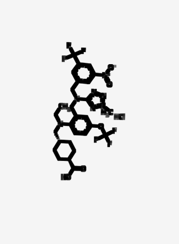 CCN(C[C@H]1CC[C@H](C(=O)O)CC1)c1ccc(OC(F)(F)F)cc1CN(Cc1cc([N+](=O)[O-])cc(C(F)(F)F)c1)c1nnn(C)n1.Cl